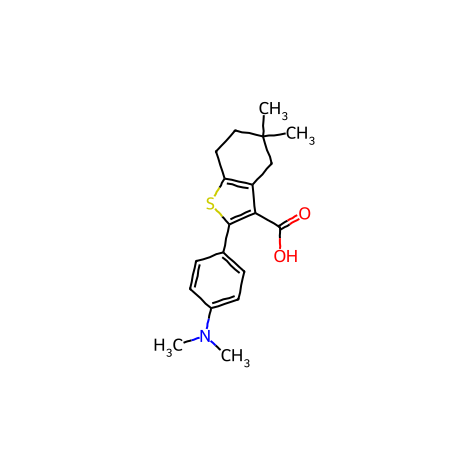 CN(C)c1ccc(-c2sc3c(c2C(=O)O)CC(C)(C)CC3)cc1